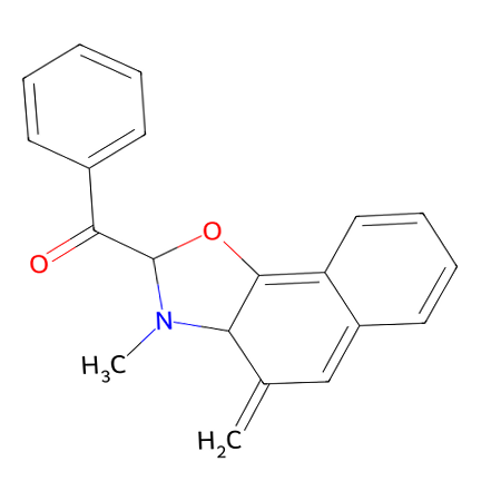 C=C1C=c2ccccc2=C2OC(C(=O)c3ccccc3)N(C)C12